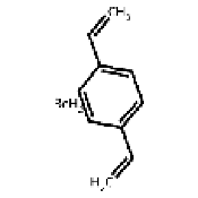 C=Cc1ccc(C=C)cc1.[BeH2]